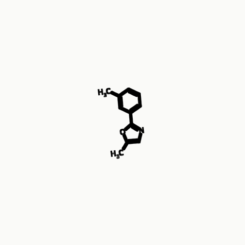 Cc1cccc(-c2ncc(C)o2)c1